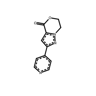 O=C1OCCn2nc(-c3ccncc3)cc21